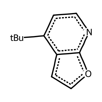 CC(C)(C)c1ccnc2occc12